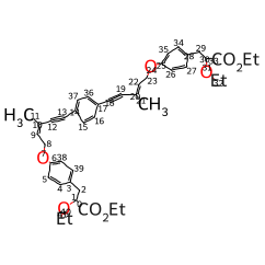 CCOC(=O)C(Cc1ccc(OCC=C(C)C#Cc2ccc(C#CC(C)=CCOc3ccc(CC(OCC)C(=O)OCC)cc3)cc2)cc1)OCC